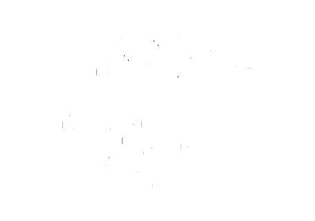 CCCCCC(CCC)CN1C=CN(C)C1.CCOP(=O)(O)OCC